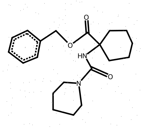 O=C(NC1(C(=O)OCc2ccccc2)CCCCC1)N1CCCCC1